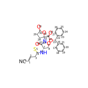 N#CC=CCC(=S)N[C@H]1CON(C2(C(=O)OC(c3ccccc3)c3ccccc3)CCC(=O)O2)C1=O